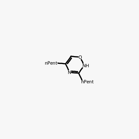 CCCCCC1=CONC(CCCCC)=N1